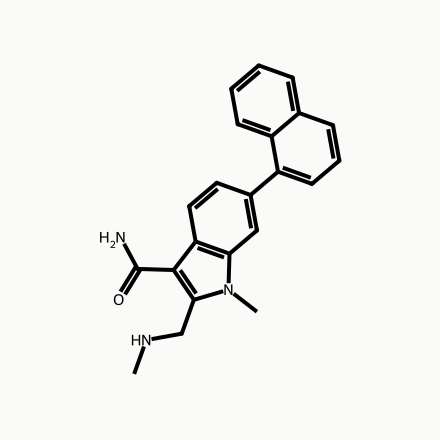 CNCc1c(C(N)=O)c2ccc(-c3cccc4ccccc34)cc2n1C